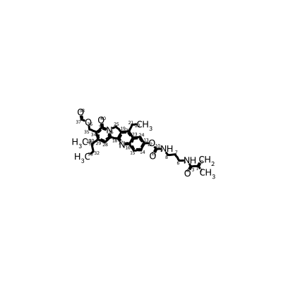 C=C(C)C(=O)NCCCNC(=O)Oc1ccc2nc3c(c(CC)c2c1)Cn1c-3cc([C@@H](C)CC)c(COC=O)c1=O